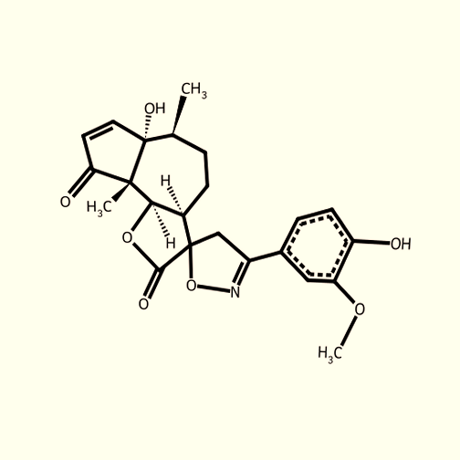 COc1cc(C2=NOC3(C2)C(=O)O[C@@H]2[C@H]3CC[C@H](C)[C@]3(O)C=CC(=O)[C@@]23C)ccc1O